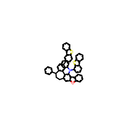 c1ccc(C2CCc3cc4oc5ccccc5c4c(N(c4ccccc4)c4cccc5c4sc4ccccc45)c3-c3cc(-c4ccc5sc6ccccc6c5c4)ccc32)cc1